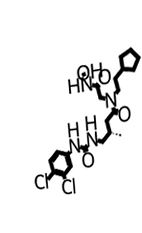 C[C@H](CNC(=O)Nc1ccc(Cl)c(Cl)c1)CC(=O)N(CCC1CCCC1)CC(=O)NO